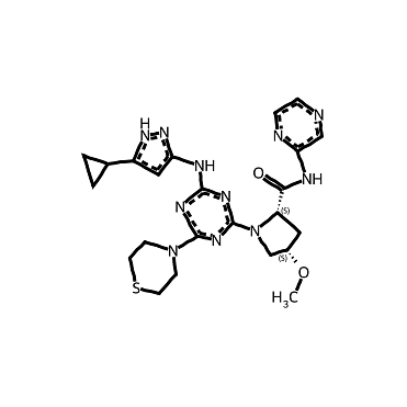 CO[C@H]1C[C@@H](C(=O)Nc2cnccn2)N(c2nc(Nc3cc(C4CC4)[nH]n3)nc(N3CCSCC3)n2)C1